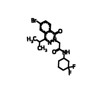 CC(C)c1nn(CC(=O)NC2CCCC(F)(F)C2)c(=O)c2ccc(Br)cc12